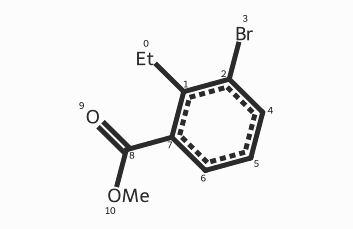 CCc1c(Br)cccc1C(=O)OC